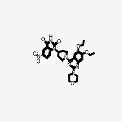 CCOc1cc2nc(N3CCOCC3)nc(N3CCC(n4c(=O)[nH]c(=O)c5cc([N+](=O)[O-])ccc54)CC3)c2cc1OCC